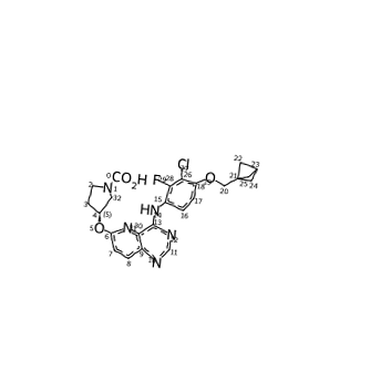 O=C(O)N1CC[C@H](Oc2ccc3ncnc(Nc4ccc(OCC56CC(C5)C6)c(Cl)c4F)c3n2)C1